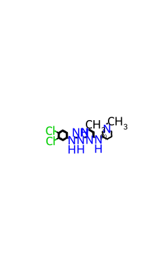 CCN1CCC[C@@H](Nc2cc(C)nc(NC(=N)Nc3ccc(Cl)c(Cl)c3)n2)C1